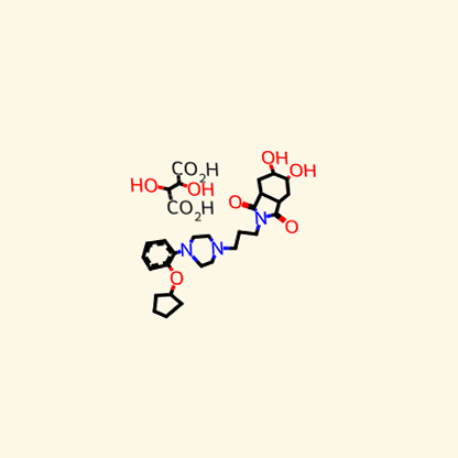 O=C(O)C(O)C(O)C(=O)O.O=C1C2CC(O)C(O)CC2C(=O)N1CCCN1CCN(c2ccccc2OC2CCCC2)CC1